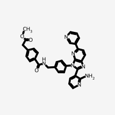 COC(=O)Cc1ccc(C(=O)NCc2ccc(-n3c(-c4cccnc4N)nc4ccc(-c5cccnc5)nc43)cc2)cc1